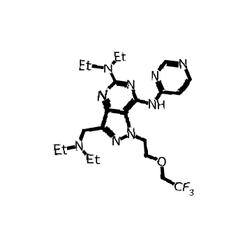 CCN(CC)Cc1nn(CCOCC(F)(F)F)c2c(Nc3ccncn3)nc(N(CC)CC)nc12